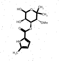 CO[C@@H]1[C@@H](OC(=O)c2ccc(C)[nH]2)[C@@H](O)C(O)OC1(C)C